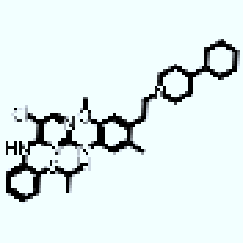 COc1cc(CCN2CCC(C3CCCCC3)CC2)c(C)cc1Nc1ncc(Cl)c(Nc2ccccc2SC(C)C)n1